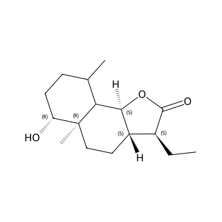 CC[C@@H]1C(=O)O[C@@H]2C3C(C)CC[C@@H](O)[C@]3(C)CC[C@@H]12